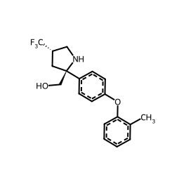 Cc1ccccc1Oc1ccc([C@]2(CO)C[C@H](C(F)(F)F)CN2)cc1